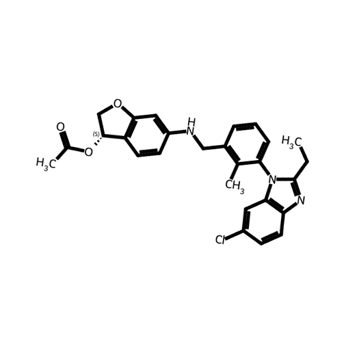 CCc1nc2ccc(Cl)cc2n1-c1cccc(CNc2ccc3c(c2)OC[C@H]3OC(C)=O)c1C